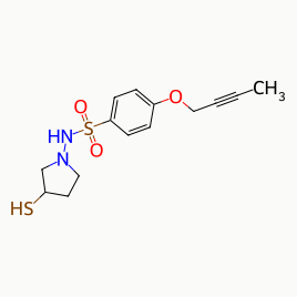 CC#CCOc1ccc(S(=O)(=O)NN2CCC(S)C2)cc1